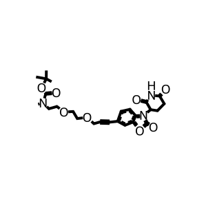 CN(CCOCCOCC#Cc1ccc2c(c1)oc(=O)n2C1CCC(=O)NC1=O)C(=O)OC(C)(C)C